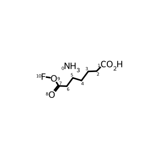 N.O=C(O)CCCCCC(=O)OF